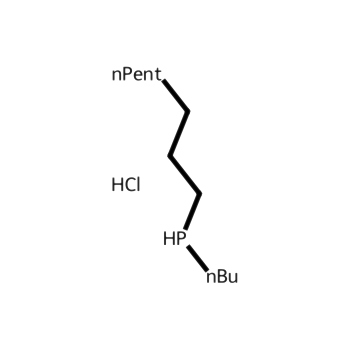 CCCCCCCCPCCCC.Cl